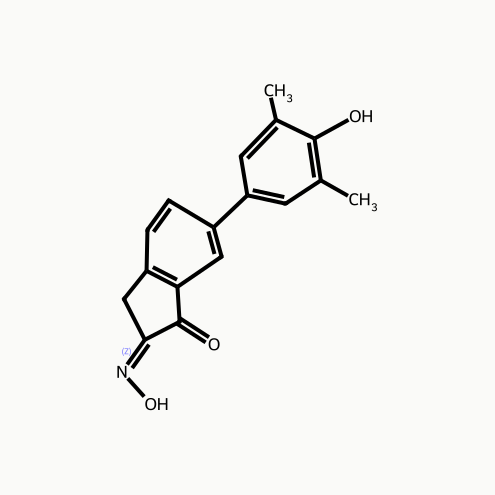 Cc1cc(-c2ccc3c(c2)C(=O)/C(=N\O)C3)cc(C)c1O